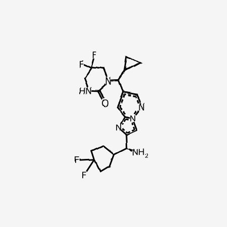 N[C@H](c1cn2ncc(C(C3CC3)N3CC(F)(F)CNC3=O)cc2n1)C1CCC(F)(F)CC1